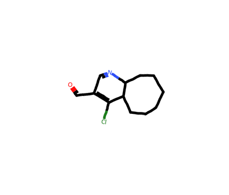 O=CC1=C(Cl)C2CCCCCCC2N=C1